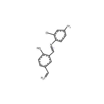 C=Cc1ccc(O)c(/C=N/c2ccc(C(F)(F)F)cc2Cl)c1